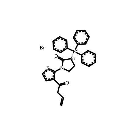 C=CCC(=O)c1ccsc1N1CC[C@@H]([P+](c2ccccc2)(c2ccccc2)c2ccccc2)C1=O.[Br-]